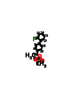 CC(OS(C)(=O)=O)c1ccc(-c2ccccc2F)cc1